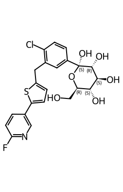 OC[C@H]1O[C@@](O)(c2ccc(Cl)c(Cc3ccc(-c4ccc(F)nc4)s3)c2)[C@H](O)[C@@H](O)[C@@H]1O